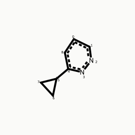 c1cnnc([C]2CC2)c1